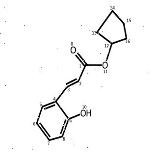 O=C(C=Cc1ccccc1O)OC1CCCC1